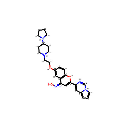 O/N=c1/cc(-c2cc3cccn3cn2)oc2ccc(OCCN3CCC(N4CCCC4)CC3)cc12